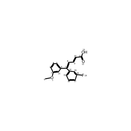 COc1cccc(/C(=C/C=C/C(=O)O)c2cccc(F)c2)c1